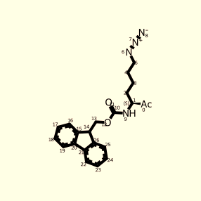 CC(=O)[C@H](CCCCN=[N+]=[N-])NC(=O)OCC1c2ccccc2-c2ccccc21